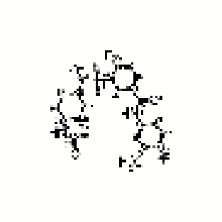 Cc1cc(NC(=O)c2ccc(F)c(C(F)(F)C(=O)N3CCc4[nH]c(=O)oc4C3)c2)ccc1F